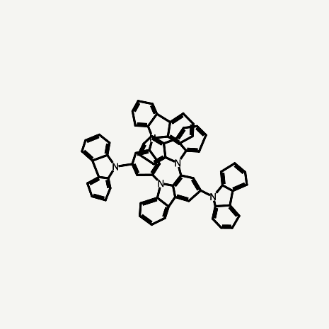 c1ccc2c(c1)c1ccccc1n2-c1cc(-n2c3ccccc3c3ccccc32)cc(-n2c3ccccc3c3cc(-n4c5ccccc5c5ccccc54)cc(-n4c5ccccc5c5ccccc54)c32)c1